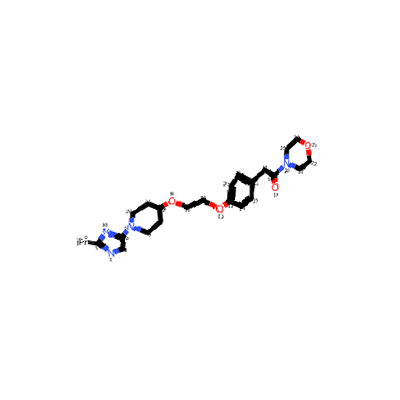 CC(C)C1=NCC(N2CCC(OCCOc3ccc(CC(=O)N4CCOCC4)cc3)CC2)=N1